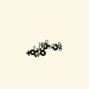 CC(C)(C)c1cc(F)c2c(=O)n(-c3cccc(-c4cc(CNc5ccc(S(C)(=O)=O)cn5)c(=O)[nH]n4)c3CO)ncc2c1